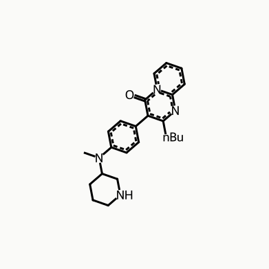 CCCCc1nc2ccccn2c(=O)c1-c1ccc(N(C)C2CCCNC2)cc1